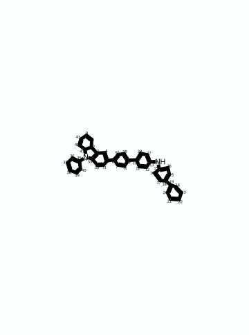 C1=CC2c3cc(-c4ccc(-c5ccc(Nc6ccc(-c7ccccc7)cc6)cc5)cc4)ccc3N(c3ccccc3)C2C=C1